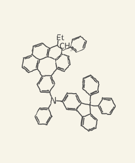 CCC(Cc1ccccc1)c1ccc2cccc3c2c1-c1c(C)cccc1-c1cc(N(c2ccccc2)c2ccc4c(c2)-c2ccccc2C4(c2ccccc2)c2ccccc2)ccc1-3